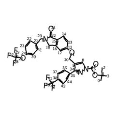 CC(C)(C)OC(=O)n1cc(COc2ccc3c(c2)CN(Cc2ccc(OC(F)(F)F)cc2)C3=O)c(-c2ccc(C(F)(F)F)cc2)n1